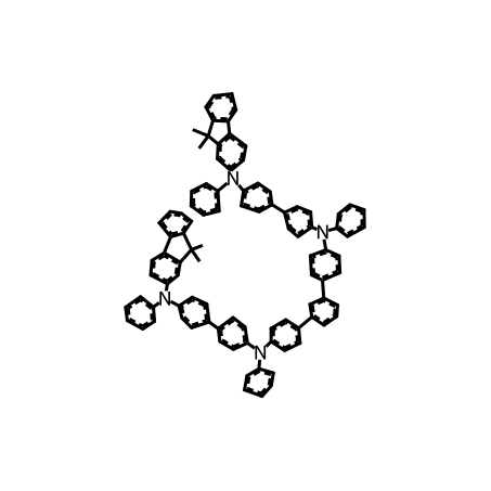 CC1(C)c2ccccc2-c2ccc(N(c3ccccc3)c3ccc(-c4ccc(N(c5ccccc5)c5ccc(-c6cccc(-c7ccc(N(c8ccccc8)c8ccc(-c9ccc(N(c%10ccccc%10)c%10ccc%11c(c%10)C(C)(C)c%10ccccc%10-%11)cc9)cc8)cc7)c6)cc5)cc4)cc3)cc21